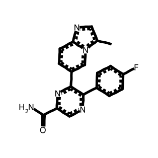 Cc1cnc2ccc(-c3nc(C(N)=O)cnc3-c3ccc(F)cc3)cn12